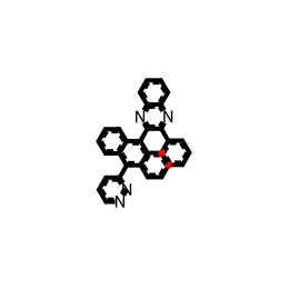 c1ccc(-c2nc3ccccc3nc2-c2c3ccccc3c(-c3cccnn3)c3ccccc23)cc1